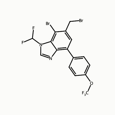 FC(F)n1cnc2c(-c3ccc(OC(F)(F)F)cc3)cc(CBr)c(Br)c21